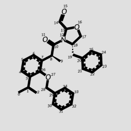 CC(C)c1cccc([C@H](C)C(=O)N2C(C=O)OC[C@@H]2Cc2ccccc2)c1OCc1ccccc1